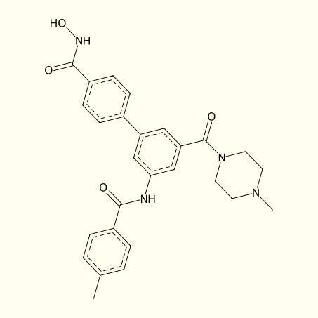 Cc1ccc(C(=O)Nc2cc(C(=O)N3CCN(C)CC3)cc(-c3ccc(C(=O)NO)cc3)c2)cc1